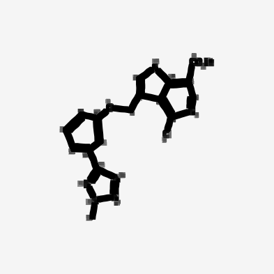 CCOC(=O)c1cnc(Cl)c2c(COc3cccc(-c4nnn(C)n4)c3)csc12